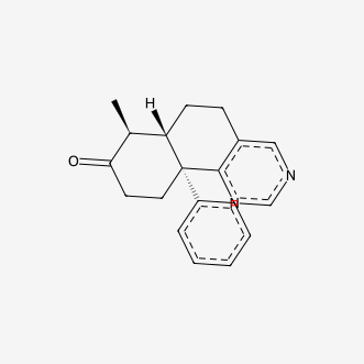 C[C@@H]1C(=O)CC[C@]2(c3ccccc3)c3ncncc3CC[C@@H]12